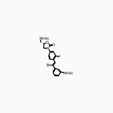 CC(=O)NC[C@H]1CN(c2ccc(C=C(Br)c3cccc(NC(C)=O)c3)c(F)c2)C(=O)O1